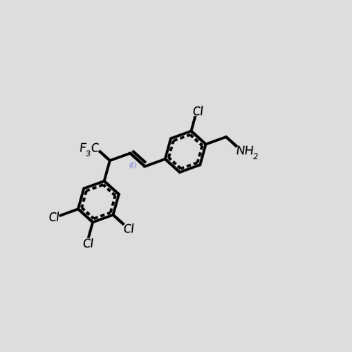 NCc1ccc(/C=C/C(c2cc(Cl)c(Cl)c(Cl)c2)C(F)(F)F)cc1Cl